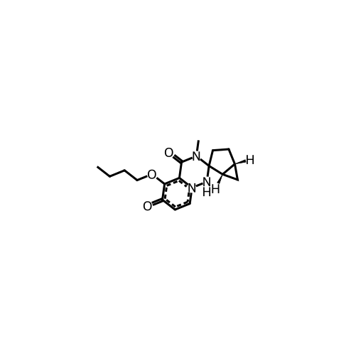 CCCCOc1c2n(ccc1=O)NC1(CC[C@@H]3C[C@@H]31)N(C)C2=O